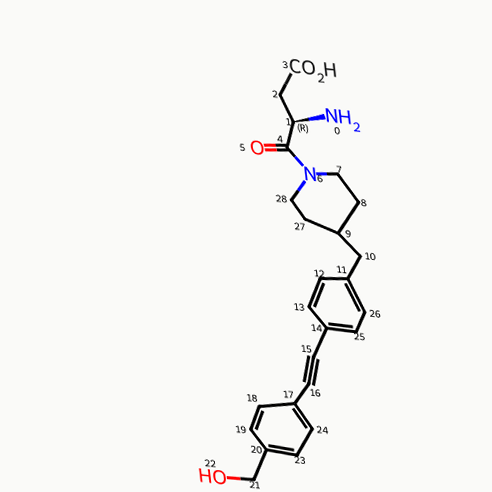 N[C@H](CC(=O)O)C(=O)N1CCC(Cc2ccc(C#Cc3ccc(CO)cc3)cc2)CC1